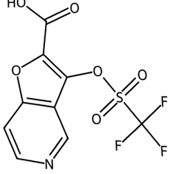 O=C(O)c1oc2ccncc2c1OS(=O)(=O)C(F)(F)F